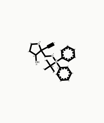 C#CC1(CO[Si](c2ccccc2)(c2ccccc2)C(C)(C)C)OCCC1O